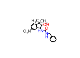 CC1(C)c2ccc([N+](=O)[O-])cc2C(NC(=O)NCc2ccccc2)C1O